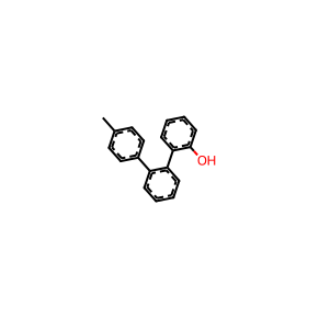 Cc1ccc(-c2ccccc2-c2ccccc2O)cc1